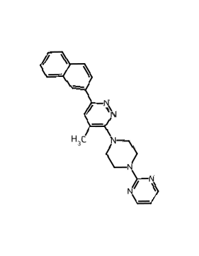 Cc1cc(-c2ccc3ccccc3c2)nnc1N1CCN(c2ncccn2)CC1